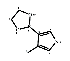 Cc1cscc1B1OCCO1